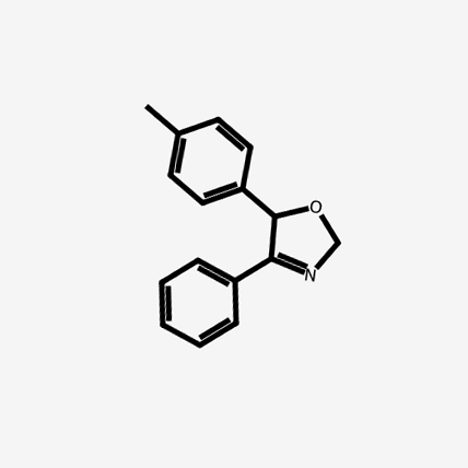 Cc1ccc(C2OCN=C2c2ccccc2)cc1